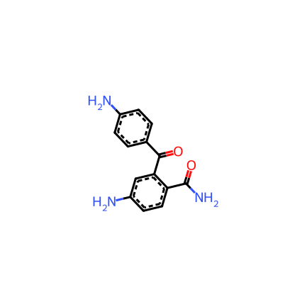 NC(=O)c1ccc(N)cc1C(=O)c1ccc(N)cc1